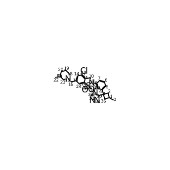 CC1CC(c2cccc(N3Cc4c(Cl)cc(CN5CCC[C@H](C)C5)cc4S3(=O)=O)c2)(c2nncn2C)C1